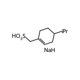 CC(C)C1CC=C(CS(=O)(=O)O)CC1.[NaH]